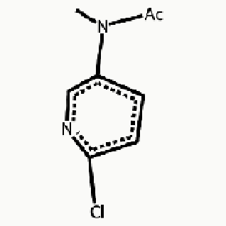 CC(=O)N(C)c1ccc(Cl)nc1